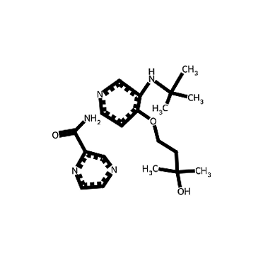 CC(C)(O)CCOc1ccncc1NC(C)(C)C.NC(=O)c1cnccn1